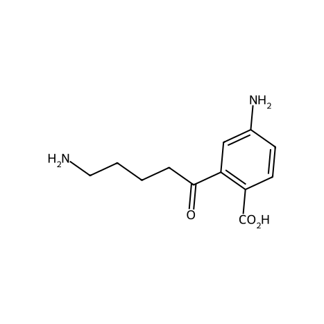 NCCCCC(=O)c1cc(N)ccc1C(=O)O